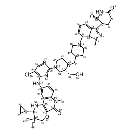 Cn1nc(C2CCC(=O)NC2=O)c2cccc(N3CCC(CN4CCN(c5ncc(Cl)c(Nc6ccc7c(c6)c6c(c(=O)n7C)OCC(F)(F)[C@H](C7CC7)N6)n5)C[C@H]4CO)CC3)c21